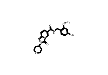 N#Cc1ccc(CNC(=O)c2ccc3nn(C4CCOCC4)c(=O)n3c2)c(OC(F)(F)F)c1